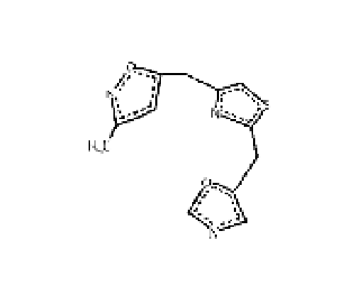 Cc1cc(Cc2csc(Cc3cnco3)n2)on1